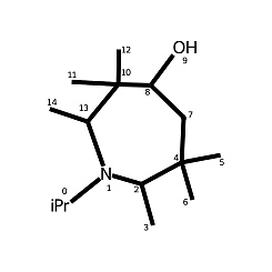 CC(C)N1C(C)C(C)(C)CC(O)C(C)(C)C1C